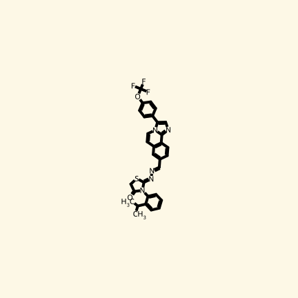 CC(C)c1ccccc1N1C(=O)CSC1=NN=Cc1ccc2c(ccn3c(-c4ccc(OC(F)(F)F)cc4)cnc23)c1